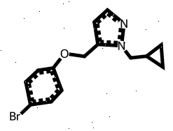 Brc1ccc(OCc2ccnn2CC2CC2)cc1